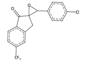 O=C1c2ccc(C(F)(F)F)cc2CC12OC2c1ccc(Cl)cc1